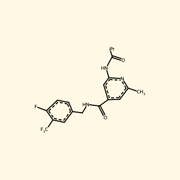 Cc1cc(C(=O)NCc2ccc(F)c(C(F)(F)F)c2)cc(NC(=O)C(C)C)n1